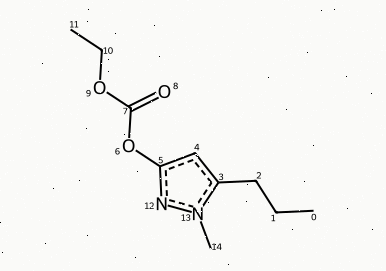 CCCc1cc(OC(=O)OCC)nn1C